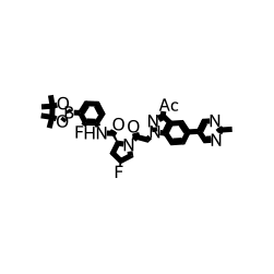 CC(=O)c1nn(CC(=O)N2C[C@H](F)C[C@H]2C(=O)Nc2cccc(B3OC(C)(C)C(C)(C)O3)c2F)c2ccc(-c3cnc(C)nc3)cc12